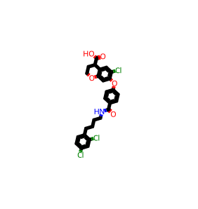 O=C(NCCCCc1ccc(Cl)cc1Cl)c1ccc(Oc2cc3c(cc2Cl)C(C(=O)O)CCO3)cc1